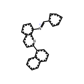 C(=N\c1cccc2ccc(-c3cccc4ccccc34)nc12)/c1ccccc1